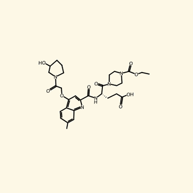 CCOC(=O)N1CCN(C(=O)[C@H](CCC(=O)O)NC(=O)c2cc(OCC(=O)N3CCCC(O)C3)c3ccc(C)cc3n2)CC1